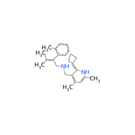 CC1=CC(C)=C(CNCC(=C(C)C)c2ccccc2C)C(=C2CCC2)N1